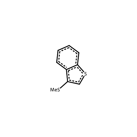 CSc1csc2ccccc12